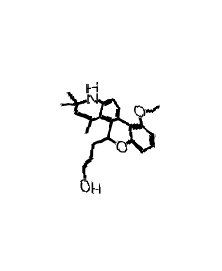 COc1cccc2c1-c1ccc3c(c1C(CCCO)O2)C(C)=CC(C)(C)N3